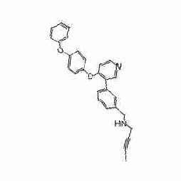 CC#CCNCc1cccc(-c2cnccc2Oc2ccc(Oc3ccccc3)cc2)c1